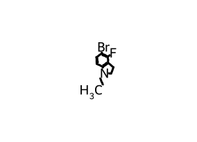 CCCN1CCc2c1ccc(Br)c2F